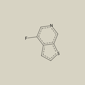 Fc1cncc2sccc12